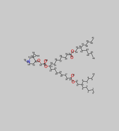 CCCCCC(CCCCC)CCOC(=O)CCCCCCCC(CCCCCCCC(=O)OCCC(CCCCC)CCCCC)OC(=O)COC1CCN(C)CC12CC2